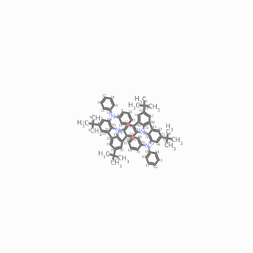 CC(C)(C)c1cc(N(c2ccccc2)c2ccccc2)c2c(c1)c1cc(C(C)(C)C)cc3c4cc5c(cc4n2c31)c1cc(C(C)(C)C)cc2c3cc(C(C)(C)C)cc(N(c4ccccc4)c4ccccc4)c3n5c12